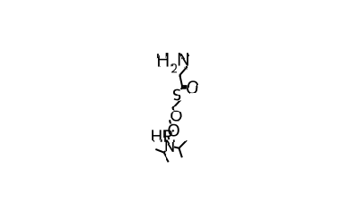 CC(C)N(POCOCCSC(=O)CCN)C(C)C